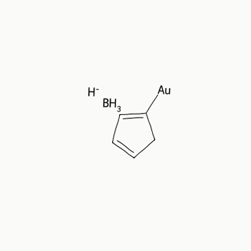 B.[Au][C]1=CC=CC1.[H-]